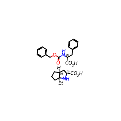 CC[C@]12CCC[C@@H]1C[C@@H](C(=O)O)N2.O=C(N[C@@H](Cc1ccccc1)C(=O)O)OCc1ccccc1